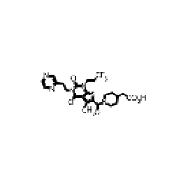 Cc1c(C(=O)N2CCC(CC(=O)O)CC2)sc2c1c(=O)n(CCc1cnccn1)c(=O)n2CCC(F)(F)F